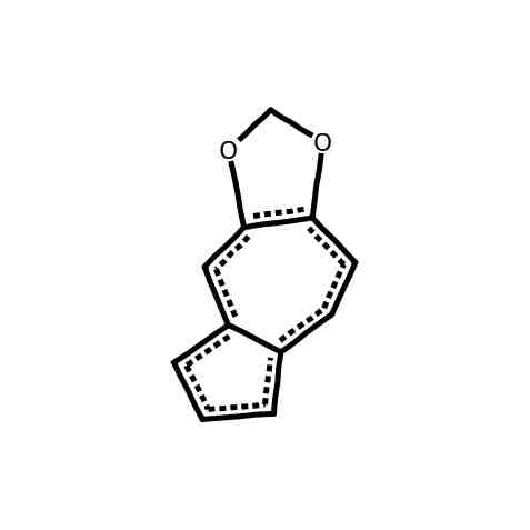 c1cc2ccc3c(cc-2c1)OCO3